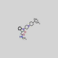 CNC(=O)CC1C(=O)N(C2CCN(C3CCC(C(C)C)CC3)CC2)c2ccccc21